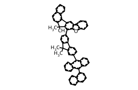 CC1(C)c2ccc(-c3c4c(cc5c3oc3ccccc35)-c3c(ccc5ccccc35)C4(C)C)cc2-c2ccc(-c3c4ccccc4c(-c4cccc5ccccc45)c4ccccc34)cc21